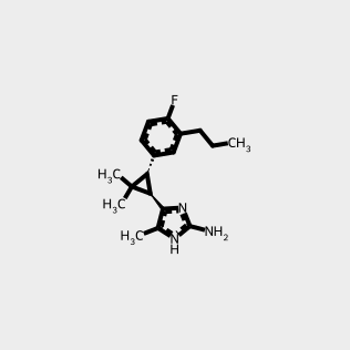 CCCc1cc([C@@H]2[C@@H](c3nc(N)[nH]c3C)C2(C)C)ccc1F